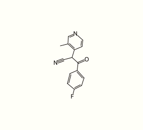 Cc1cnccc1C(C#N)C(=O)c1ccc(F)cc1